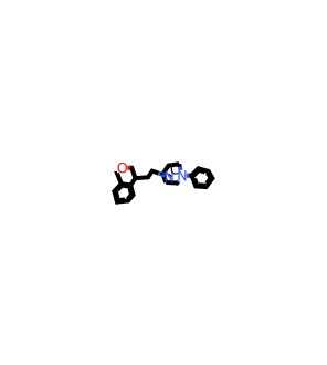 c1ccc(N2CC3CCC2CN3CCC2COCc3ccccc32)cc1